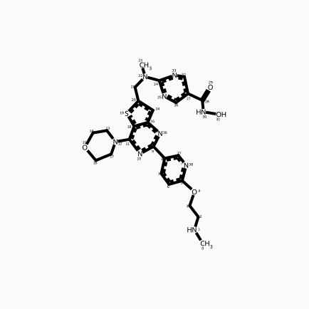 CNCCOc1ccc(-c2nc(N3CCOCC3)c3sc(CN(C)c4ncc(C(=O)NO)cn4)cc3n2)cn1